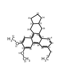 CCc1cnc2c3c(c4cc(OC)c(OC)cc4c2c1)CC1CCCC1C3